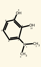 CN(C)c1cc[c]c(O)c1O